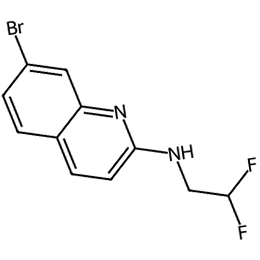 FC(F)CNc1ccc2ccc(Br)cc2n1